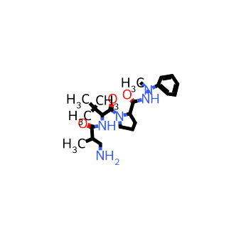 CC(CN)C(=O)NC(C(=O)N1CCCC1C(=O)NN(C)c1ccccc1)C(C)(C)C